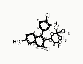 Cc1ccc2c(-c3ccc(Cl)cc3)c(C(CO)OC(C)(C)C)c(Cl)cc2n1